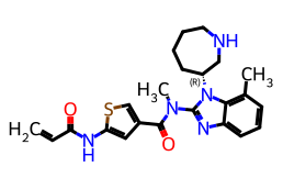 C=CC(=O)Nc1cc(C(=O)N(C)c2nc3cccc(C)c3n2[C@@H]2CCCCNC2)cs1